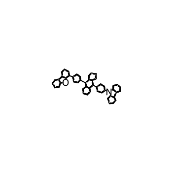 c1ccc2c(c1)oc1c(-c3ccc(-c4c5ccccc5c(-c5ccc(-n6c7ccccc7c7ccccc76)cc5)c5ccccc45)cc3)cccc12